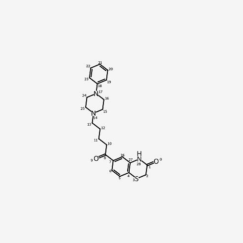 O=C1CSc2ccc(C(=O)CCCCN3CCN(c4ccccc4)CC3)cc2N1